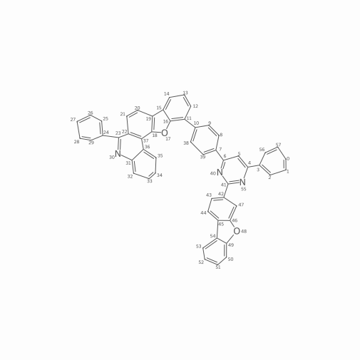 c1ccc(-c2cc(-c3ccc(-c4cccc5c4oc4c5ccc5c(-c6ccccc6)nc6ccccc6c54)cc3)nc(-c3ccc4c(c3)oc3ccccc34)n2)cc1